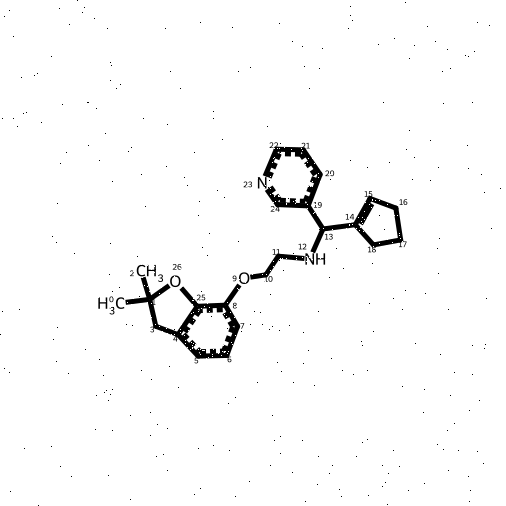 CC1(C)Cc2cccc(OCCNC(C3=CCCC3)c3cccnc3)c2O1